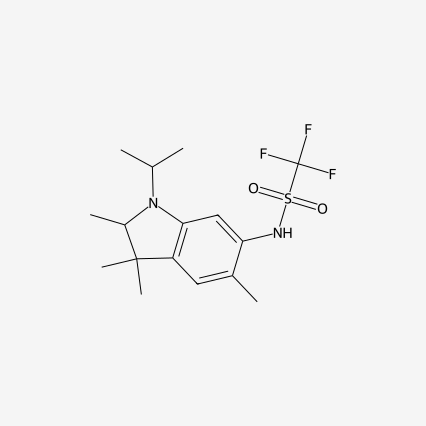 Cc1cc2c(cc1NS(=O)(=O)C(F)(F)F)N(C(C)C)C(C)C2(C)C